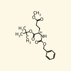 COC(=O)CC[C@@H](NC(=O)OCc1ccccc1)C(=O)OC(C)(C)C